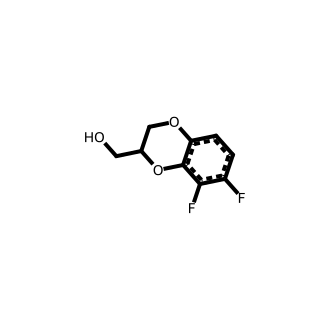 OCC1COc2ccc(F)c(F)c2O1